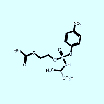 C[C@H](NP(=O)(OCCSC(=O)C(C)(C)C)Oc1ccc([N+](=O)[O-])cc1)C(=O)O